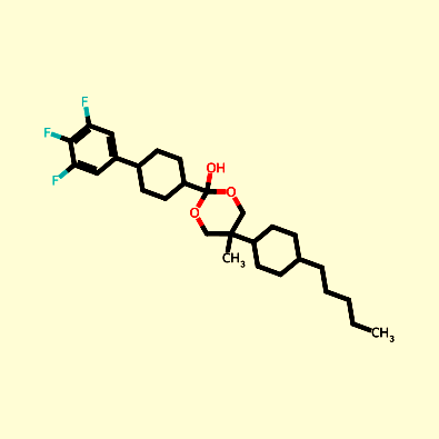 CCCCCC1CCC(C2(C)COC(O)(C3CCC(c4cc(F)c(F)c(F)c4)CC3)OC2)CC1